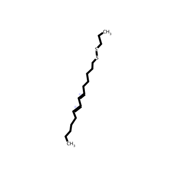 CCCCC/C=C/C=C/CCCCCSSCCC